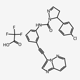 O=C(Nc1cccc(C#Cc2cnc3cccnn23)c1)N1N=CCC1c1ccc(Cl)cc1.O=C(O)C(F)(F)F